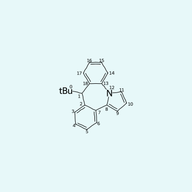 CC(C)(C)C1c2ccccc2-c2cccn2-c2ccccc21